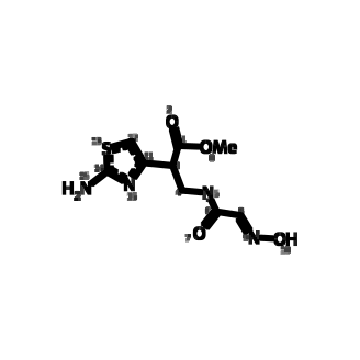 COC(=O)C(C[N]C(=O)C=NO)c1csc(N)n1